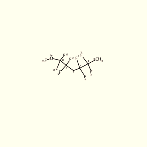 CC(F)(F)C(F)(F)CC(F)(F)C(F)(F)OF